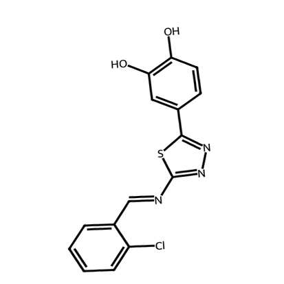 Oc1ccc(-c2nnc(N=Cc3ccccc3Cl)s2)cc1O